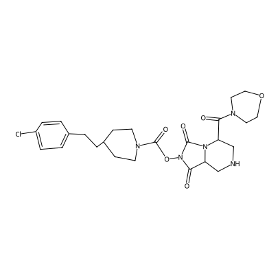 O=C(ON1C(=O)C2CNCC(C(=O)N3CCOCC3)N2C1=O)N1CCC(CCc2ccc(Cl)cc2)CC1